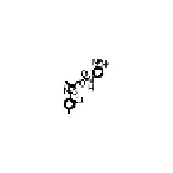 COc1cc(C)ccc1-c1nc(C)c(COC(=O)Nc2ccc3c(c2)ncn3C)s1